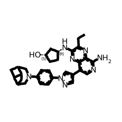 CCc1nc2c(N)ncc(-c3cnn(-c4ccc(N5CC6CC7C(CC67)C5)cc4)c3)c2nc1N[C@@H]1CC[C@H](O)C1